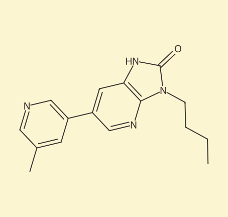 CCCCn1c(=O)[nH]c2cc(-c3cncc(C)c3)cnc21